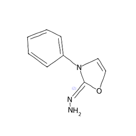 N/N=c1\occn1-c1ccccc1